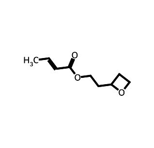 CC=CC(=O)OCCC1CCO1